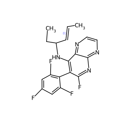 C/C=C/C(CC)Nc1c(-c2c(F)cc(F)cc2F)c(F)nc2nccnc12